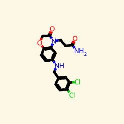 NC(=O)CCN1C(=O)COc2ccc(NCc3ccc(Cl)c(Cl)c3)cc21